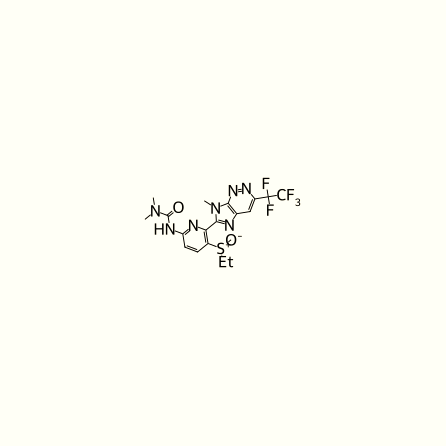 CC[S+]([O-])c1ccc(NC(=O)N(C)C)nc1-c1nc2cc(C(F)(F)C(F)(F)F)nnc2n1C